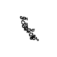 CS(=O)(=O)c1ccc(-c2nc3nc(O[C@H]4CC[C@H](C(=O)O)CC4)[nH]c3cc2Cl)cc1